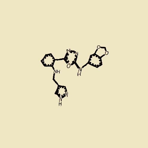 c1ccc(-c2nnc(Nc3ccc4c(c3)OCO4)o2)c(NCc2cn[nH]c2)c1